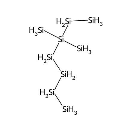 [SiH3][SiH2][SiH2][SiH2][Si]([SiH3])([SiH3])[SiH2][SiH3]